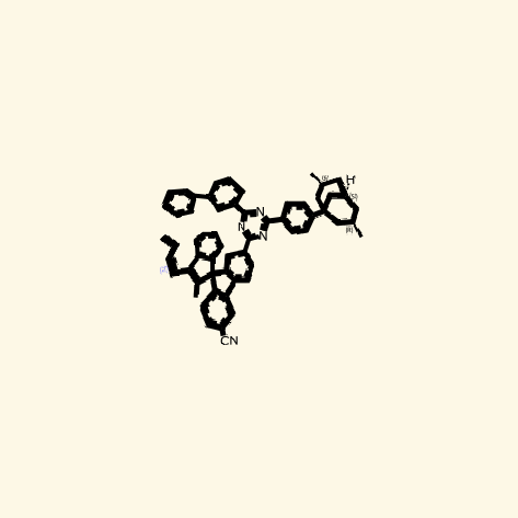 C=C/C=C\C1=C(C)C2(c3ccccc31)c1ccc(C#N)cc1-c1ccc(-c3nc(-c4ccc(C56C[C@H](C)C[C@H](C[C@H](C)C5)C6)cc4)nc(-c4cccc(-c5ccccc5)c4)n3)cc12